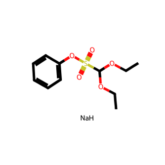 CCOC(OCC)S(=O)(=O)Oc1ccccc1.[NaH]